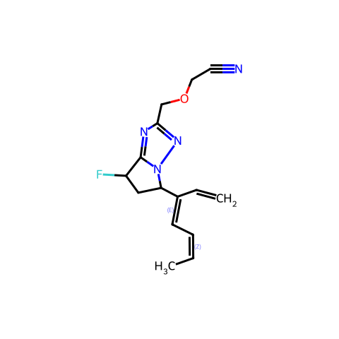 C=C/C(=C\C=C/C)C1CC(F)c2nc(COCC#N)nn21